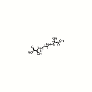 O=C(O)C(O)CNCCNCC(O)C(=O)O